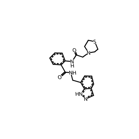 O=C(CN1CCSCC1)Nc1ccccc1C(=O)NCc1cccc2cn[nH]c12